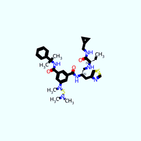 CC[C@H](NC[C@H](Cc1cscn1)NC(=O)c1cc(C(=O)NC(C)(C)c2ccccc2)cc(N(C)SN(C)C)c1)C(=O)NCC1CC1